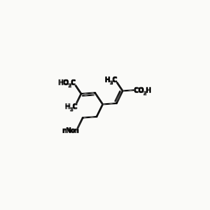 CCCCCCCCCCCC(C=C(C)C(=O)O)C=C(C)C(=O)O